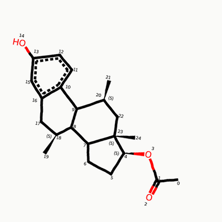 CC(=O)O[C@H]1CCC2C3C(c4ccc(O)cc4C[C@@H]3C)[C@@H](C)C[C@@]21C